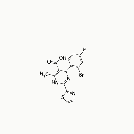 CC1=C(C(=O)O)C(c2ccc(F)cc2Br)N=C(c2nccs2)N1